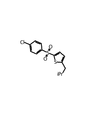 CC(C)Cc1ccc(S(=O)(=O)c2ccc(Cl)cc2)s1